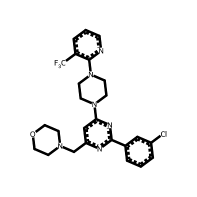 FC(F)(F)c1cccnc1N1CCN(c2cc(CN3CCOCC3)nc(-c3cccc(Cl)c3)n2)CC1